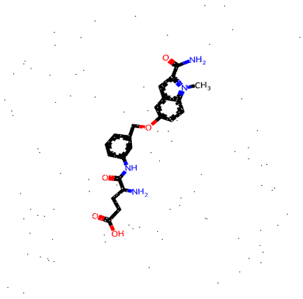 Cn1c(C(N)=O)cc2cc(OCc3cccc(NC(=O)C(N)CCC(=O)O)c3)ccc21